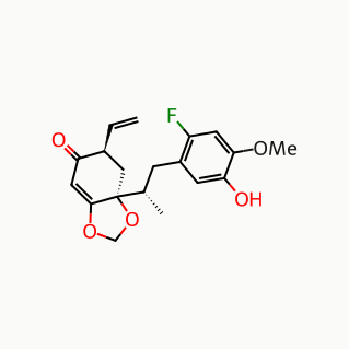 C=C[C@H]1C[C@]2([C@@H](C)Cc3cc(O)c(OC)cc3F)OCOC2=CC1=O